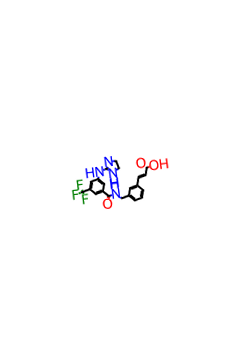 O=C(O)C=Cc1cccc(CNC(=O)c2cc(NC3=NCCN3)cc(C(F)(F)F)c2)c1